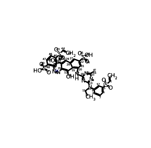 C=CS(=O)(=O)c1cccc(N(CC)c2nc(F)nc(Nc3cc(S(=O)(=O)O)cc4cc(S(=O)(=O)O)c(/N=N\c5cc(S(=O)(=O)C=C)ccc5S(=O)(=O)O)c(O)c34)n2)c1